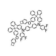 Fc1ccc(N(c2ccc(-c3ccc(N(c4ccc(F)c(F)c4)c4ccc5c(c4)C(c4ccccc4)(c4ccc(Oc6ccc7c(c6)CC7)cc4)c4ccccc4-5)cc3)cc2)c2ccc3c(c2)C(c2ccccc2)(c2ccc(Oc4ccc5c(c4)CC5)cc2)c2ccccc2-3)cc1F